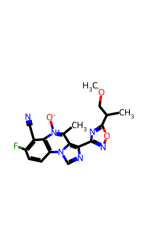 COCC(C)c1nc(-c2ncn3c2c(C)[n+]([O-])c2c(C#N)c(F)ccc23)no1